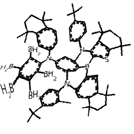 Bc1c(B)c(B)c(N(c2cc3c4c(c2)N(c2ccc(C(C)(C)C)cc2)c2c(sc5c2C(C)(C)CCC5(C)C)B4c2cc4c(cc2N3c2ccc(C(C)(C)C)cc2C)C(C)(C)CCC4(C)C)c2ccc3c(c2)C(C)(C)CCC3(C)C)c(B)c1B